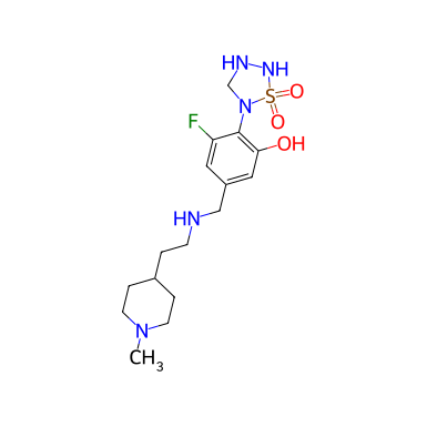 CN1CCC(CCNCc2cc(O)c(N3CNNS3(=O)=O)c(F)c2)CC1